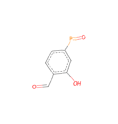 O=Cc1ccc(P=O)cc1O